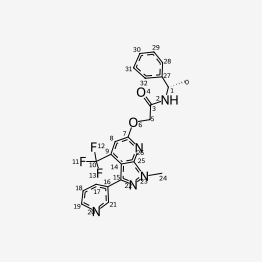 C[C@H](NC(=O)COc1cc(C(F)(F)F)c2c(-c3cccnc3)nn(C)c2n1)c1ccccc1